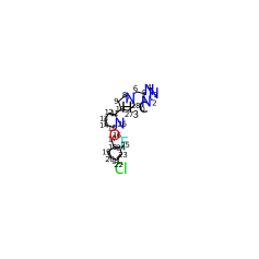 Cn1cnnc1CN1CCC(c2cccc(OCc3ccc(Cl)cc3F)n2)CC1